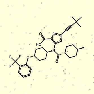 CC(C)(C)C#Cc1cc(N(C(=O)[C@H]2CC[C@H](C)CC2)[C@H]2CC[C@H](Oc3ncccc3C(F)(F)F)CC2)c(C(=O)O)s1